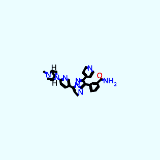 CN1C[C@@H]2C[C@H]1CN2c1ccc(-c2ccnc3c(-c4cccc(C(N)=O)c4)c(-c4ccncc4)nn23)cn1